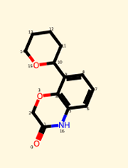 O=C1COc2c(cccc2C2CCCCO2)N1